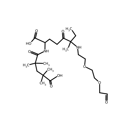 CCC(C)(NCCOCCOCC=O)C(=O)CCC(NC(=O)C(C)(C)CC(C)(C)C(=O)O)C(=O)O